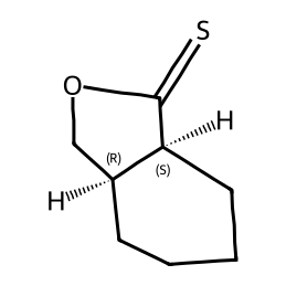 S=C1OC[C@@H]2CCCC[C@H]12